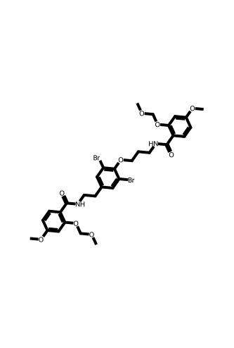 COCOc1cc(OC)ccc1C(=O)NCCCOc1c(Br)cc(CCNC(=O)c2ccc(OC)cc2OCOC)cc1Br